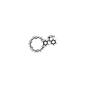 ON=C(c1ccccc1)c1ccc2c(c1)OCCOCCOCCOCCOCCO2